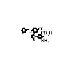 Cc1c(N)cc(-n2c(C)ccc2-c2cc(C(F)(F)F)ccc2OCc2ccccc2)cc1C(=O)O